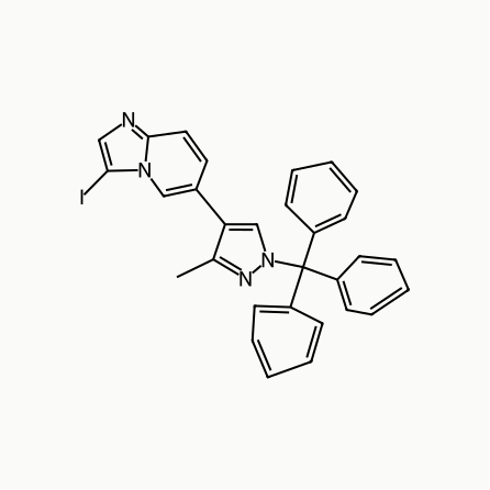 Cc1nn(C(c2ccccc2)(c2ccccc2)c2ccccc2)cc1-c1ccc2ncc(I)n2c1